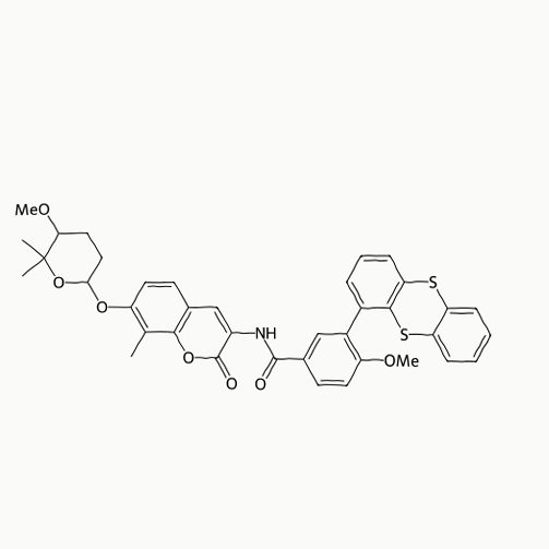 COc1ccc(C(=O)Nc2cc3ccc(OC4CCC(OC)C(C)(C)O4)c(C)c3oc2=O)cc1-c1cccc2c1Sc1ccccc1S2